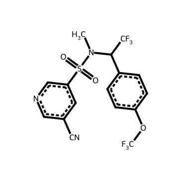 CN(C(c1ccc(OC(F)(F)F)cc1)C(F)(F)F)S(=O)(=O)c1cncc(C#N)c1